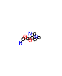 N#Cc1ccc2oc3cc4c(cc3c2c1)oc1ccc(-c2c(C#N)cccc2-n2c3ccccc3c3ccccc32)cc14